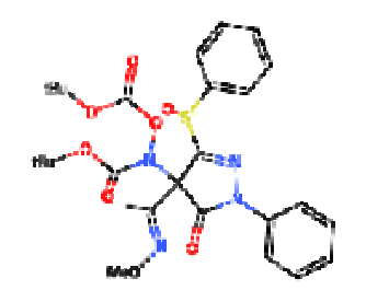 CON=C(C)C1(N(OC(=O)OC(C)(C)C)C(=O)OC(C)(C)C)C(=O)N(c2ccccc2)N=C1[S+]([O-])c1ccccc1